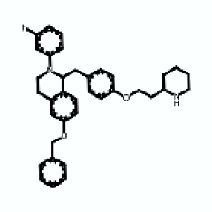 Fc1cccc(N2CCc3cc(OCc4ccccc4)ccc3C2Cc2ccc(OCCC3CCCCN3)cc2)c1